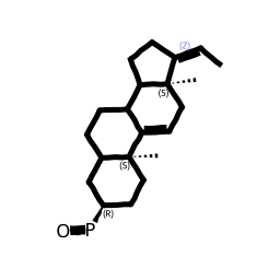 C/C=C1/CCC2C3CCC4C[C@H](P=O)CC[C@]4(C)C3=CC[C@]12C